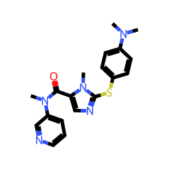 CN(C)c1ccc(Sc2ncc(C(=O)N(C)c3cccnc3)n2C)cc1